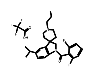 CCCN1CCC2(CC1)CN(C(=O)c1c(F)cccc1F)c1ccc(C(C)C)cc12.O=C(O)C(F)(F)F